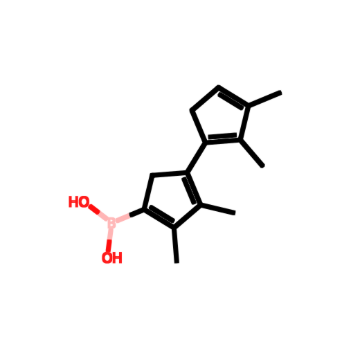 CC1=CCC(C2=C(C)C(C)=C(B(O)O)C2)=C1C